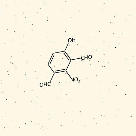 O=Cc1ccc(O)c(C=O)c1[N+](=O)[O-]